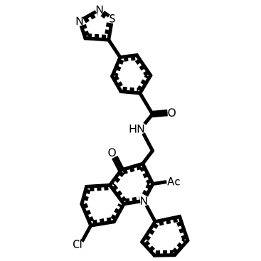 CC(=O)c1c(CNC(=O)c2ccc(-c3cnns3)cc2)c(=O)c2ccc(Cl)cc2n1-c1ccccc1